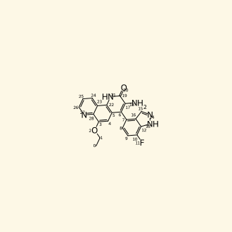 CCOc1cc2c(-c3ccc(F)c4[nH]ncc34)c(N)c(=O)[nH]c2c2cccnc12